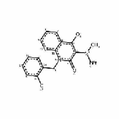 CCC[S+](C)c1c([O-])c2cccnc2n(Cc2ccccc2Cl)c1=O